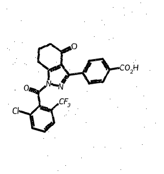 O=C(O)c1ccc(-c2nn(C(=O)c3c(Cl)cccc3C(F)(F)F)c3c2C(=O)CCC3)cc1